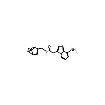 Nc1cccn2c(CC(=O)NCC3=CC4CCC3C43CC3)cnc12